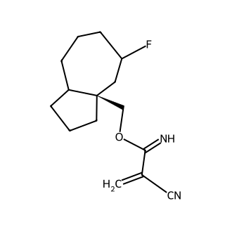 C=C(C#N)C(=N)OC[C@@]12CCCC1CCCC(F)C2